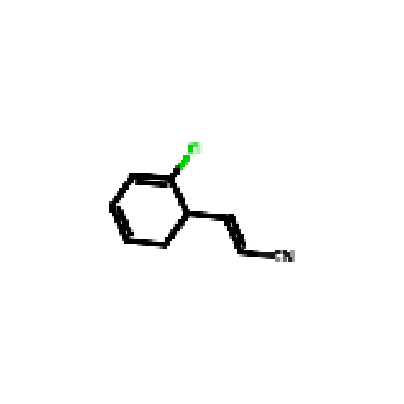 N#CC=CC1CC=CC=C1Cl